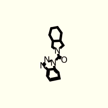 O=C(N1CC2CCCCC2C1)n1nnc2ccccc21